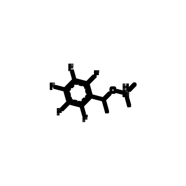 CC(O[SiH](C)C)c1c(F)c(F)c(F)c(F)c1F